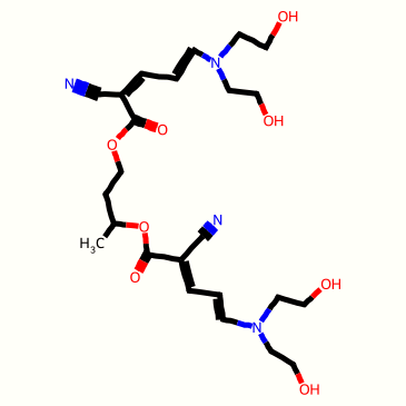 CC(CCOC(=O)/C(C#N)=C\C=C\N(CCO)CCO)OC(=O)/C(C#N)=C/C=C/N(CCO)CCO